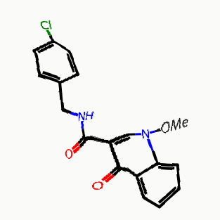 COn1cc(C(=O)NCc2ccc(Cl)cc2)c(=O)c2ccccc21